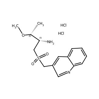 CO[C@H](C)[C@H](N)CS(=O)(=O)Cc1cnc2ccccc2c1.Cl.Cl